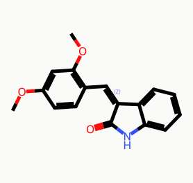 COc1ccc(/C=C2\C(=O)Nc3ccccc32)c(OC)c1